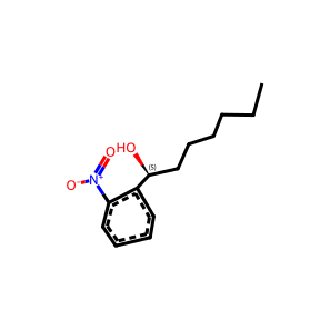 CCCCCC[C@H](O)c1ccccc1[N+](=O)[O-]